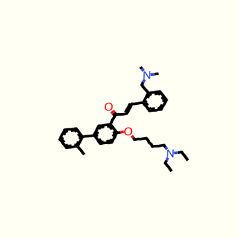 CCN(CC)CCCCOc1ccc(-c2ccccc2C)cc1C(=O)C=Cc1ccccc1CN(C)C